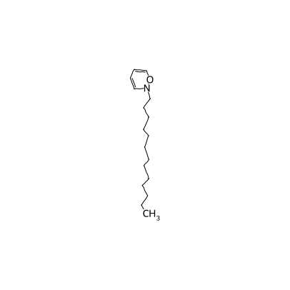 CCCCCCCCCCCCCN1C=CC=CO1